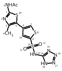 CC(=O)Nc1nc(C)c(-c2csc(S(=O)(=O)Nc3nnn[nH]3)c2)s1